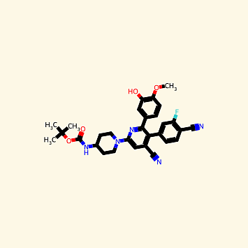 COc1ccc(-c2nc(N3CCC(NC(=O)OC(C)(C)C)CC3)cc(C#N)c2-c2ccc(C#N)c(F)c2)cc1O